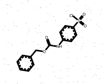 O=C(Nc1ccc(S(=O)(=O)Cl)cc1)OCc1ccccc1